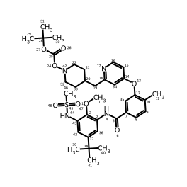 COc1c(NC(=O)c2ccc(C)c(Oc3ccnc(CC4CCN(OC(=O)OC(C)(C)C)CC4)c3)c2)cc(C(C)(C)C)cc1NS(C)(=O)=O